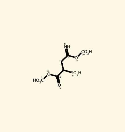 N=C(CC(C(=O)OC(=O)O)S(=O)(=O)O)OC(=O)O